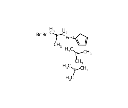 CP(C)C.CP(C)C.CP(C)C.[Br-].[Br-].[Fe+2][C]1=CC=CC1